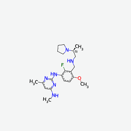 CNc1cc(C)nc(Nc2ccc(OC)c(CNC[C@H](C)N3CCCC3)c2F)n1